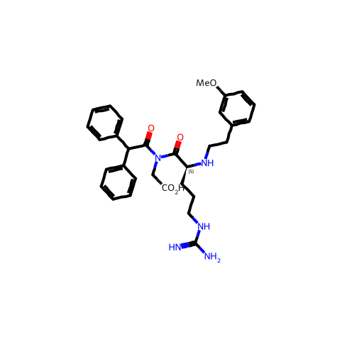 COc1cccc(CCN[C@@H](CCCNC(=N)N)C(=O)N(CC(=O)O)C(=O)C(c2ccccc2)c2ccccc2)c1